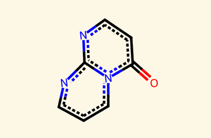 O=c1ccnc2ncccn12